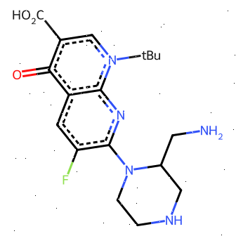 CC(C)(C)n1cc(C(=O)O)c(=O)c2cc(F)c(N3CCNCC3CN)nc21